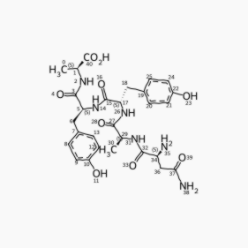 C[C@H](NC(=O)[C@H](Cc1ccc(O)cc1)NC(=O)[C@H](Cc1ccc(O)cc1)NC(=O)[C@H](C)NC(=O)[C@@H](N)CC(N)=O)C(=O)O